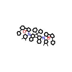 Cc1ccc(N(c2cc3c(c4ccccc24)-c2c(cc(N(c4ccc(C)c(C)c4)c4cccc5c4oc4c(-c6ccccc6)cccc45)c4ccccc24)C3(c2ccccc2)c2ccccc2)c2cccc3c2oc2c(-c4ccccc4)cccc23)cc1C